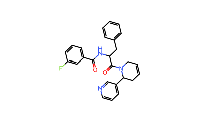 O=C(NC(Cc1ccccc1)C(=O)N1CC=CCC1c1cccnc1)c1cccc(F)c1